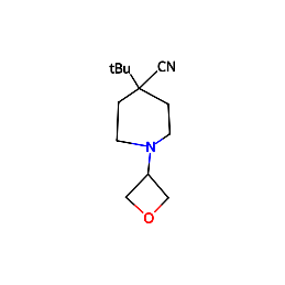 CC(C)(C)C1(C#N)CCN(C2COC2)CC1